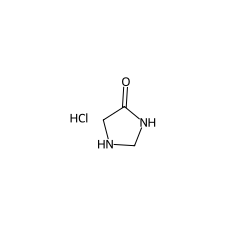 Cl.O=C1CNCN1